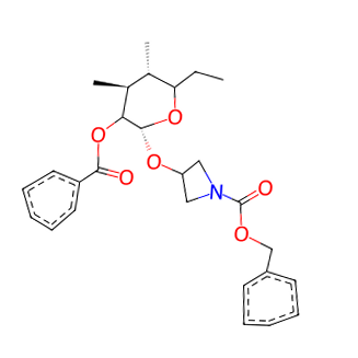 CCC1O[C@H](OC2CN(C(=O)OCc3ccccc3)C2)C(OC(=O)c2ccccc2)[C@@H](C)[C@@H]1C